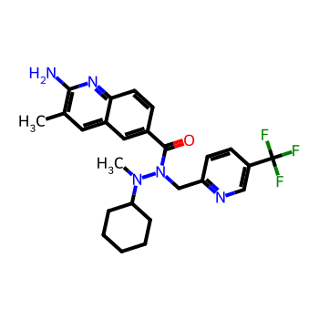 Cc1cc2cc(C(=O)N(Cc3ccc(C(F)(F)F)cn3)N(C)C3CCCCC3)ccc2nc1N